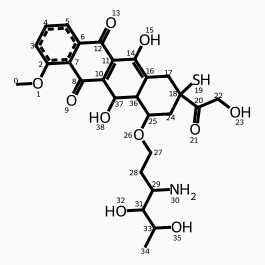 COc1cccc2c1C(=O)C1=C(C2=O)C(O)=C2CC(S)(C(=O)CO)CC(OCCC(N)C(O)C(C)O)C2C1O